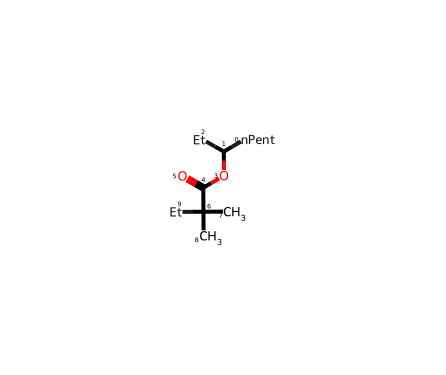 CCCCCC(CC)OC(=O)C(C)(C)CC